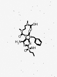 CCCS(=N)(=O)c1nc(N)c2c(n1)n(Cc1ccccc1)c(=O)n2C(=O)N(C)CCN(C)C(=O)O